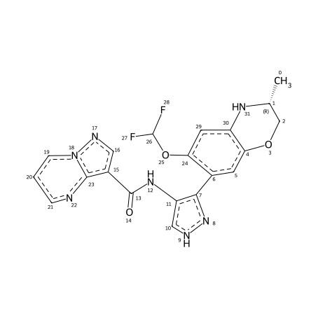 C[C@@H]1COc2cc(-c3n[nH]cc3NC(=O)c3cnn4cccnc34)c(OC(F)F)cc2N1